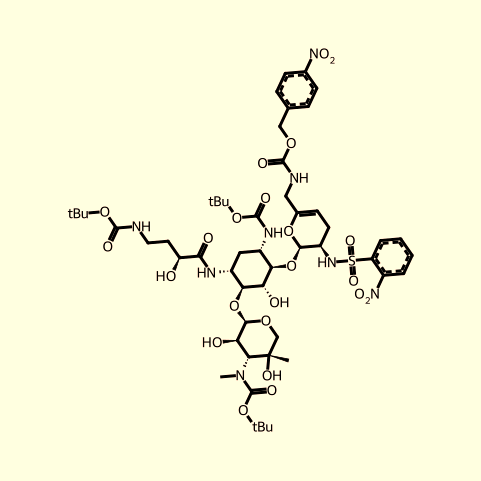 CN(C(=O)OC(C)(C)C)[C@@H]1[C@@H](O)[C@@H](O[C@@H]2[C@@H](O)[C@H](O[C@H]3OC(CNC(=O)OCc4ccc([N+](=O)[O-])cc4)=CC[C@H]3NS(=O)(=O)c3ccccc3[N+](=O)[O-])[C@@H](NC(=O)OC(C)(C)C)C[C@H]2NC(=O)[C@@H](O)CCNC(=O)OC(C)(C)C)OC[C@]1(C)O